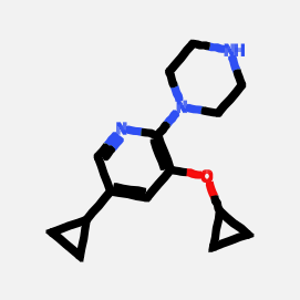 c1nc(N2CCNCC2)c(OC2CC2)cc1C1CC1